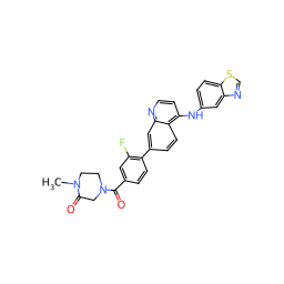 CN1CCN(C(=O)c2ccc(-c3ccc4c(Nc5ccc6scnc6c5)ccnc4c3)c(F)c2)CC1=O